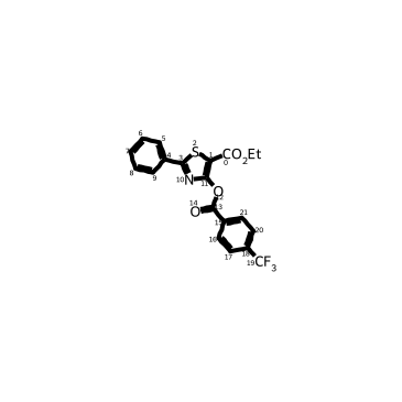 CCOC(=O)c1sc(-c2ccccc2)nc1OC(=O)c1ccc(C(F)(F)F)cc1